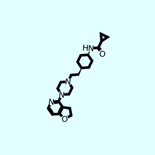 O=C(N[C@H]1CC[C@H](CCN2CCN(c3nccc4c3CCO4)CC2)CC1)C1CC1